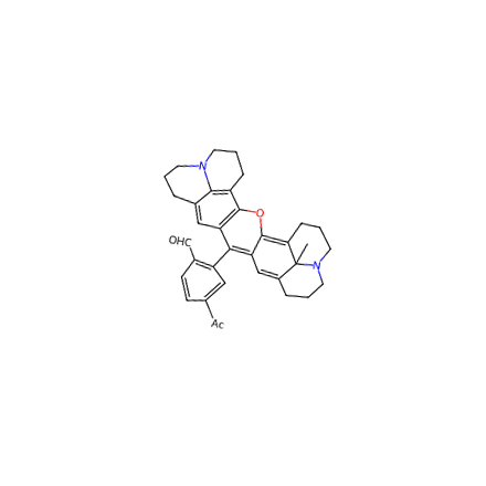 CC(=O)c1ccc(C=O)c(C2=C3C=C4CCCN5CCCC(=C3Oc3c2cc2c6c3CCCN6CCC2)C45C)c1